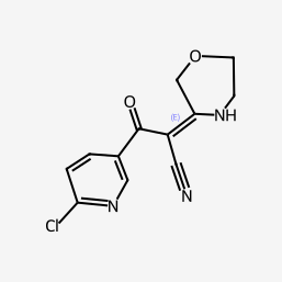 N#C/C(C(=O)c1ccc(Cl)nc1)=C1/COCCN1